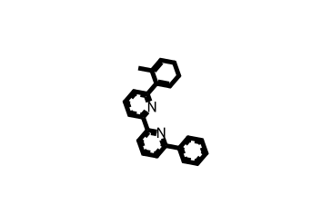 CC1=CCCC=C1c1cccc(-c2cccc(-c3ccccc3)n2)n1